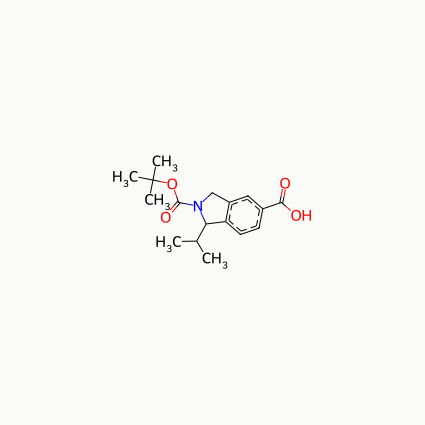 CC(C)C1c2ccc(C(=O)O)cc2CN1C(=O)OC(C)(C)C